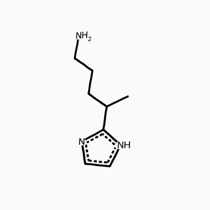 CC(CCCN)c1ncc[nH]1